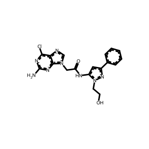 Nc1nc(Cl)c2ncn(CC(=O)Nc3cc(-c4ccccc4)nn3CCO)c2n1